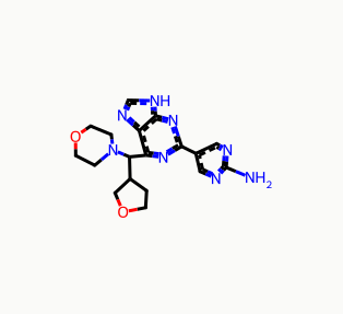 Nc1ncc(-c2nc(C(C3CCOC3)N3CCOCC3)c3nc[nH]c3n2)cn1